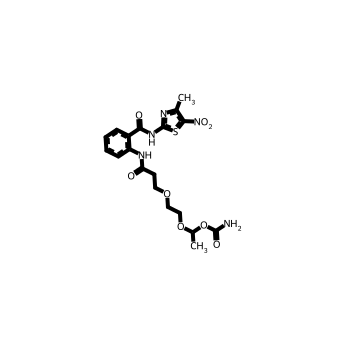 Cc1nc(NC(=O)c2ccccc2NC(=O)CCOCCOC(C)OC(N)=O)sc1[N+](=O)[O-]